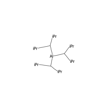 CC(C)[CH](C(C)C)[Al]([CH](C(C)C)C(C)C)[CH](C(C)C)C(C)C